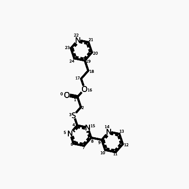 O=C(CSc1nccc(-c2ccccn2)n1)OCCc1ccncc1